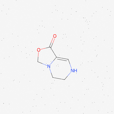 O=C1OCN2CCNC=C12